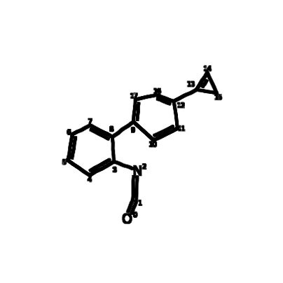 O=C=Nc1ccccc1-c1ccc(C2=CC2)cc1